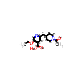 CCOc1cnc(CC2CCN(C(C)=O)CC2)cc1C(=O)O